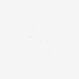 CCCC(Oc1ncc2cc(C(F)(F)F)n(Cc3ccc(CN4CCCC4)cc3)c2n1)c1ccncc1